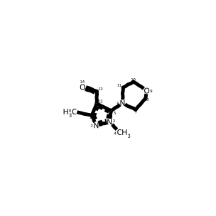 Cc1nn(C)c(N2CCOCC2)c1C=O